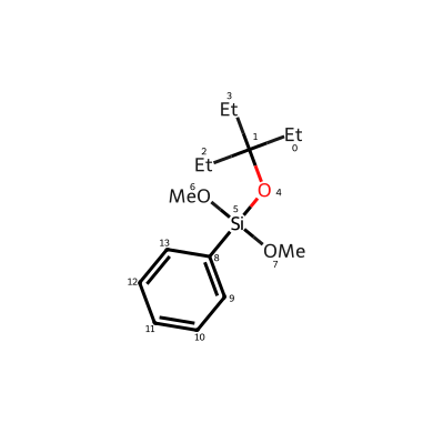 CCC(CC)(CC)O[Si](OC)(OC)c1ccccc1